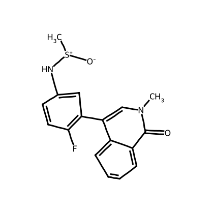 Cn1cc(-c2cc(N[S+](C)[O-])ccc2F)c2ccccc2c1=O